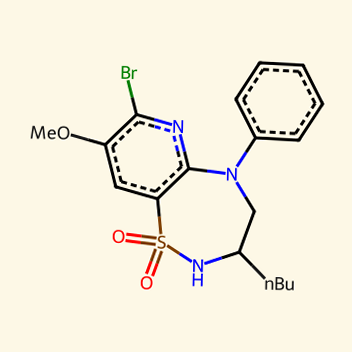 CCCCC1CN(c2ccccc2)c2nc(Br)c(OC)cc2S(=O)(=O)N1